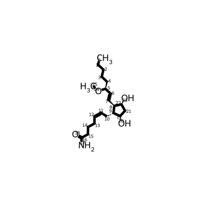 CCCCC[C@@H](/C=C/[C@@H]1[C@@H](C/C=C\CCCC(N)=O)[C@@H](O)C[C@H]1O)OC